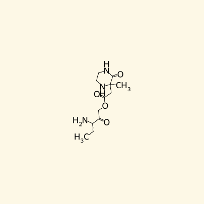 CCC(N)C(=O)COC(=O)CC1(C)NCCNC1=O